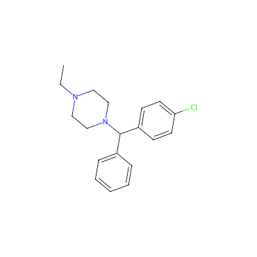 CCN1CCN(C(c2ccccc2)c2ccc(Cl)cc2)CC1